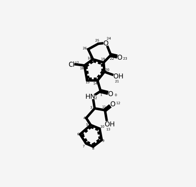 O=C(NC(Cc1ccccc1)C(=O)O)c1cc(Cl)c2c(c1O)C(=O)OCC2